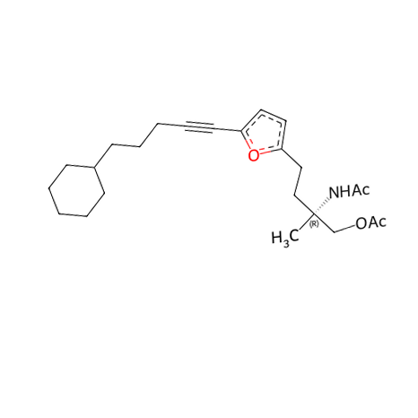 CC(=O)N[C@](C)(CCc1ccc(C#CCCCC2CCCCC2)o1)COC(C)=O